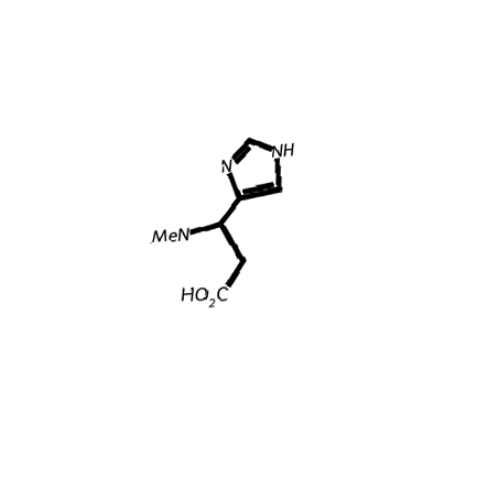 CNC(CC(=O)O)c1c[nH]cn1